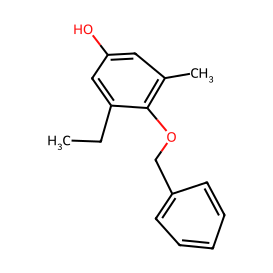 CCc1cc(O)cc(C)c1OCc1ccccc1